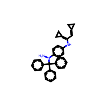 NN(c1ccc(NC(C=C2CC2)=C2CC2)cc1)C(c1ccccc1)(c1ccccc1)c1ccccc1